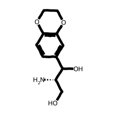 N[C@@H](CO)C(O)c1ccc2c(c1)OCCO2